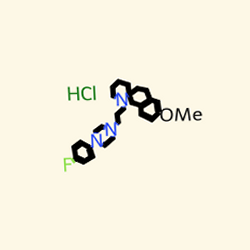 COc1ccc2c(c1)CCC1(CCCCN1CCCN1CCN(c3ccc(F)cc3)CC1)C2.Cl